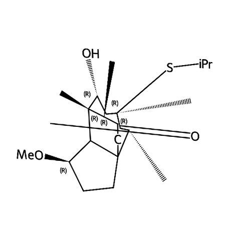 CO[C@@H]1CCC23CC[C@@H](C)[C@](C)(C12)[C@H](O)C[C@@](C)(SC(C)C)C(=O)[C@@H]3C